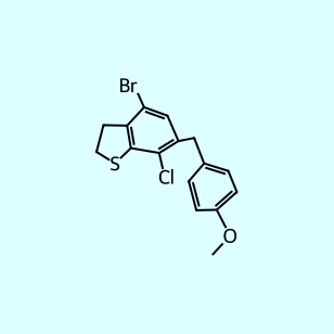 COc1ccc(Cc2cc(Br)c3c(c2Cl)SCC3)cc1